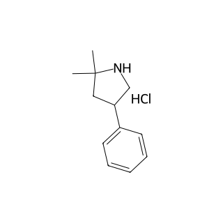 CC1(C)CC(c2ccccc2)CN1.Cl